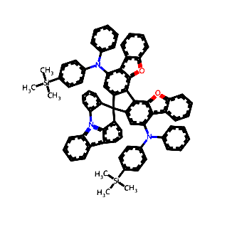 C[Si](C)(C)c1ccc(N(c2ccccc2)c2cc3c(c4oc5ccccc5c24)-c2c(cc(N(c4ccccc4)c4ccc([Si](C)(C)C)cc4)c4c2oc2ccccc24)C32c3ccccc3-n3c4ccccc4c4cccc2c43)cc1